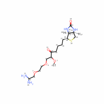 CCOC(COCCOCC(N)N)C(=O)CCCC[C@@H]1SC[C@@H]2NC(=O)N[C@@H]21